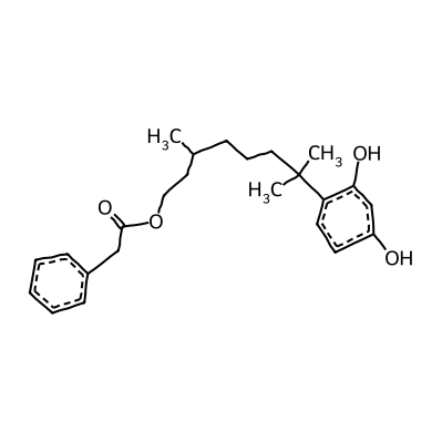 CC(CCCC(C)(C)c1ccc(O)cc1O)CCOC(=O)Cc1ccccc1